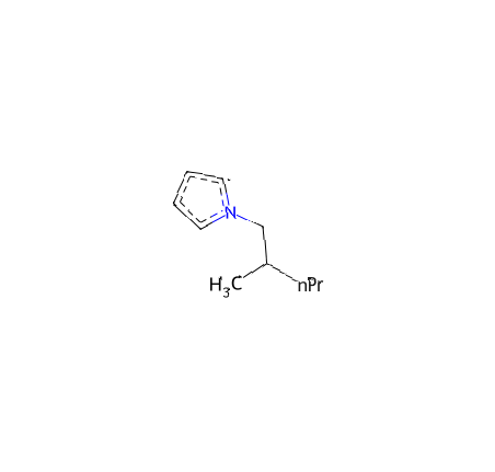 CCCC(C)Cn1[c]ccc1